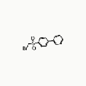 O=S(=O)(CBr)c1ccc(-c2ccccc2)cc1